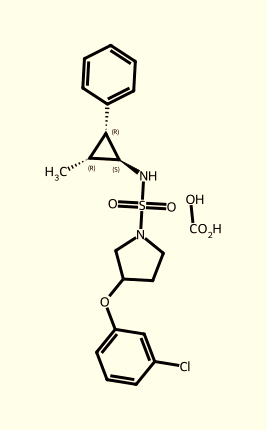 C[C@H]1[C@H](NS(=O)(=O)N2CCC(Oc3cccc(Cl)c3)C2)[C@H]1c1ccccc1.O=C(O)O